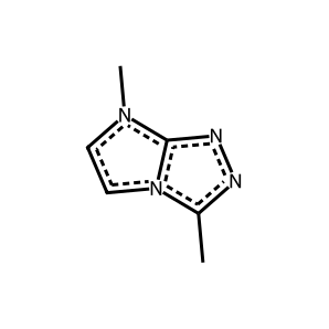 Cc1nnc2n(C)ccn12